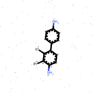 CCc1c(-c2ccc(N)cc2)ccc(N)c1C(C)C